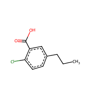 CCCc1ccc(Cl)c(C(=O)O)c1